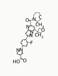 C[C@@H]1CCCCCN1C(=O)c1cc(C2(C)COC2)n2nc(-c3ccc(-n4cc(C(=O)O)cn4)cc3F)cc2n1